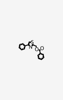 O=C(OCc1nc(-c2ccccc2)cs1)c1ccccc1